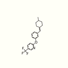 CC1CCC(=Cc2cccc(Oc3ccc(C(F)(F)F)cn3)c2)CC1